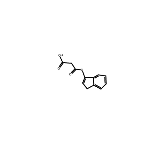 O=C(O)CC(=O)OC1=CCc2ccccc21